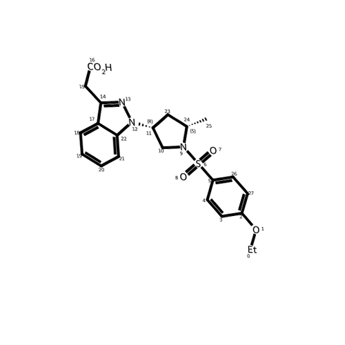 CCOc1ccc(S(=O)(=O)N2C[C@H](n3nc(CC(=O)O)c4ccccc43)C[C@@H]2C)cc1